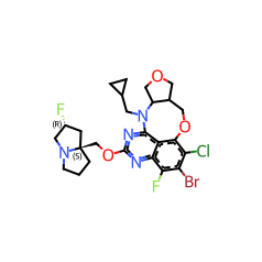 Fc1c(Br)c(Cl)c2c3c(nc(OC[C@@]45CCCN4C[C@H](F)C5)nc13)N(CC1CC1)C1COCC1CO2